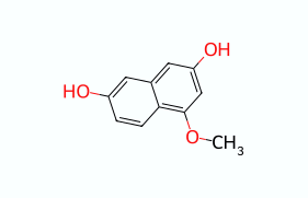 COc1cc(O)cc2cc(O)ccc12